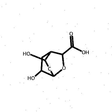 O=C(O)C1OC2CC(O)C1CC2O